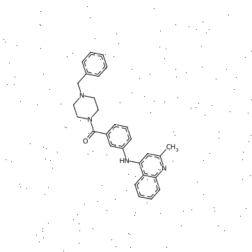 Cc1cc(Nc2cccc(C(=O)N3CCN(Cc4ccccc4)CC3)c2)c2ccccc2n1